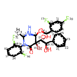 CC1NC(OCc2ccc(F)cc2F)C(Br)(C(O)C(O)c2ccccc2)C(=O)N1c1c(F)cccc1F